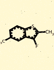 Cc1ccc2sc(C)c(F)c2c1